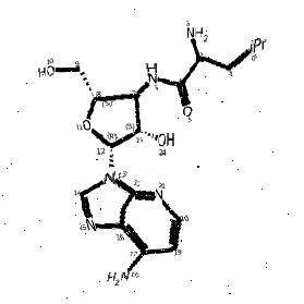 CC(C)CC(N)C(=O)NC1[C@@H](CO)O[C@@H](n2cnc3c(N)ccnc32)[C@H]1O